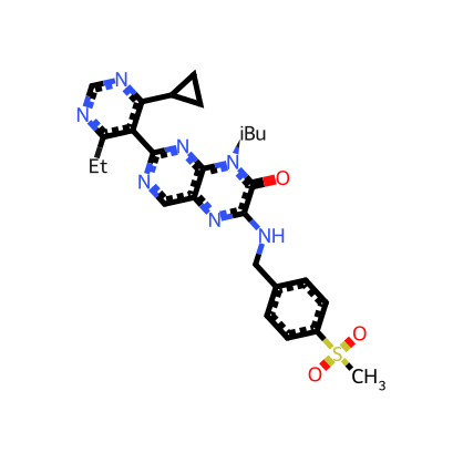 CCc1ncnc(C2CC2)c1-c1ncc2nc(NCc3ccc(S(C)(=O)=O)cc3)c(=O)n([C@H](C)CC)c2n1